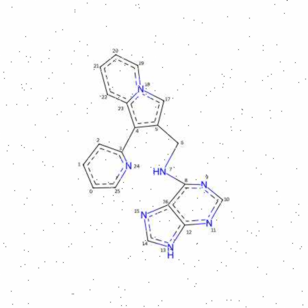 c1ccc(-c2c(CNc3ncnc4[nH]cnc34)cn3ccccc23)nc1